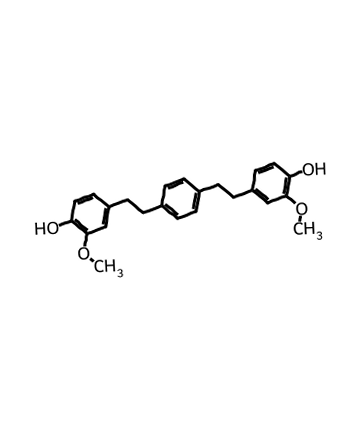 COc1cc(CCc2ccc(CCc3ccc(O)c(OC)c3)cc2)ccc1O